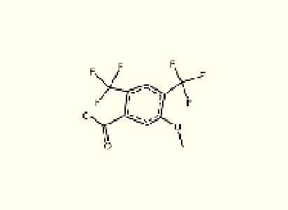 COc1cc(C(=O)Cl)c(C(F)(F)F)cc1C(F)(F)F